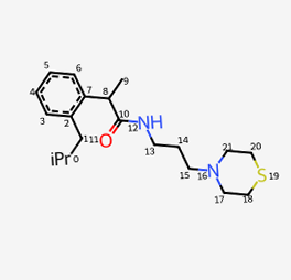 CC(C)Cc1ccccc1C(C)C(=O)NCCCN1CCSCC1